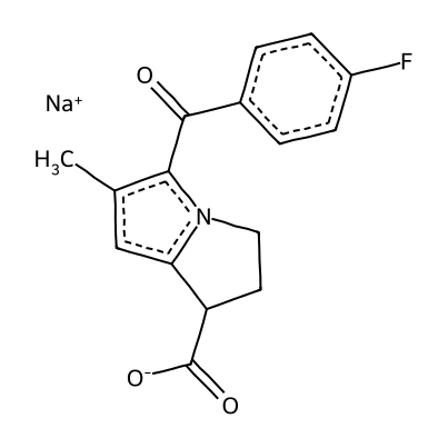 Cc1cc2n(c1C(=O)c1ccc(F)cc1)CCC2C(=O)[O-].[Na+]